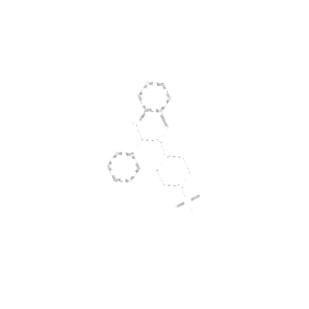 CS(=O)(=O)N1CCN(N2C=c3ccccc3=NC2c2ccccc2)CC1